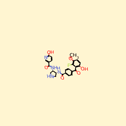 COc1ccc(O)c(C(=O)c2ccc(C(=O)N[C@@H]3CNC[C@H]3NC(=O)c3ccc(O)nc3)cc2)c1F